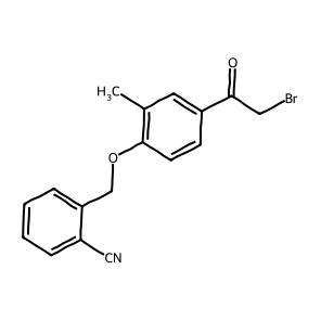 Cc1cc(C(=O)CBr)ccc1OCc1ccccc1C#N